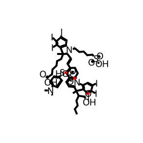 CCCCC(C(=O)O)C1(C)/C(=C/C=C2\CCCC(/C=C/C3=[N+](CCCCCS(=O)(=O)O)c4cc(I)c(I)c(I)c4C3(C)CCCCCC(=O)O)=C2Sc2ccc(N(C)C)cc2)N(CS(=O)(=O)O)c2cc(I)c(I)c(I)c21